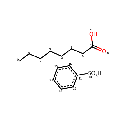 CCCCCCCC(=O)O.O=S(=O)(O)c1ccccc1